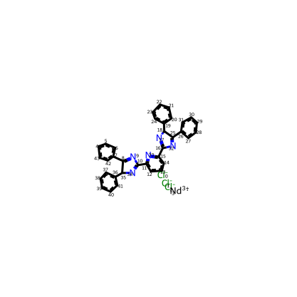 [Cl-].[Cl-].[Cl-].[Nd+3].c1ccc(C2=NC(c3cccc(C4=NC(c5ccccc5)C(c5ccccc5)=N4)n3)=NC2c2ccccc2)cc1